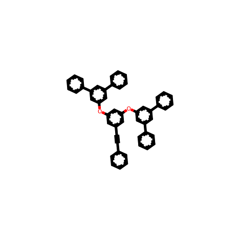 C(#Cc1cc(Oc2cc(-c3ccccc3)cc(-c3ccccc3)c2)cc(Oc2cc(-c3ccccc3)cc(-c3ccccc3)c2)c1)c1ccccc1